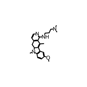 COc1ccc2c(c1)C1=C(C)c3c(ccnc3NCCCN(C)C)CC1N2C